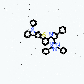 c1ccc(-c2cnc(-c3cccc4c3sc3cc5c(cc34)c3ccccc3n5-c3ccccc3)c(-c3nc(-c4ccccc4)nc(-c4ccccc4)n3)c2)cc1